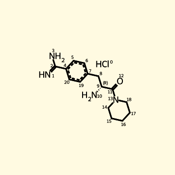 Cl.N=C(N)c1ccc(C[C@@H](N)C(=O)N2CCCCC2)cc1